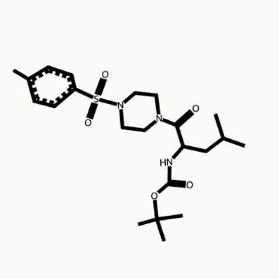 Cc1ccc(S(=O)(=O)N2CCN(C(=O)C(CC(C)C)NC(=O)OC(C)(C)C)CC2)cc1